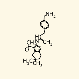 C=C(CCc1ccc(CN)cc1)Nc1sc2c(c1C(C)=O)CC(C)(C)CC2